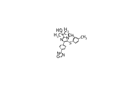 Cc1ccc(Sc2c(-c3ccc(-c4ncon4)cc3)nc(C(C)(C)O)n2C)cc1